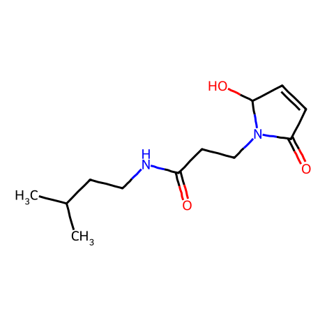 CC(C)CCNC(=O)CCN1C(=O)C=CC1O